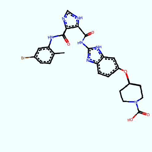 Cc1ccc(Br)cc1NC(=O)c1nc[nH]c1C(=O)Nc1nc2ccc(OC3CCN(C(=O)O)CC3)cc2[nH]1